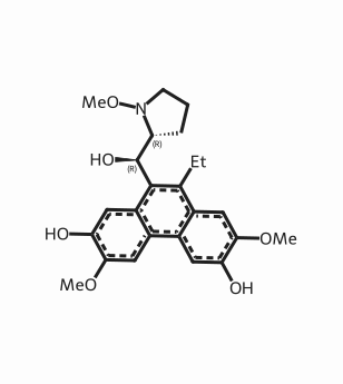 CCc1c([C@@H](O)[C@H]2CCCN2OC)c2cc(O)c(OC)cc2c2cc(O)c(OC)cc12